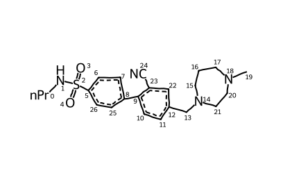 CCCNS(=O)(=O)c1ccc(-c2ccc(CN3CCCN(C)CC3)cc2C#N)cc1